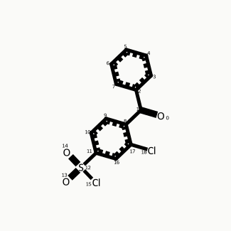 O=C(c1ccccc1)c1ccc(S(=O)(=O)Cl)cc1Cl